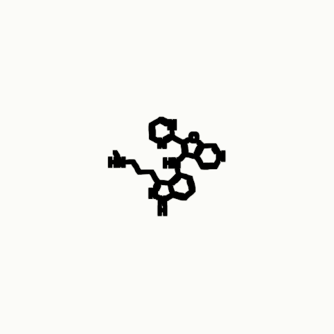 CNCCCc1n[nH]c2cccc(Nc3c(-c4ncccn4)oc4cnccc34)c12